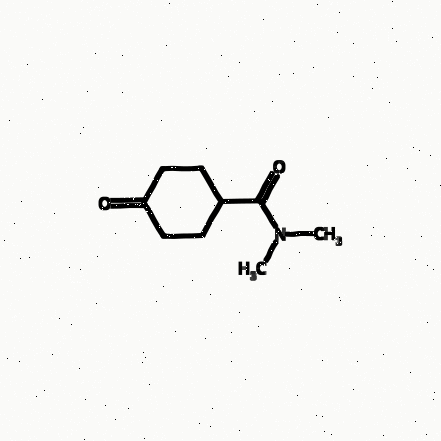 CN(C)C(=O)C1CCC(=O)CC1